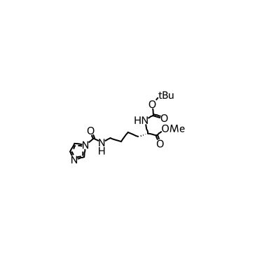 COC(=O)[C@H](CCCCNC(=O)n1ccnc1)NC(=O)OC(C)(C)C